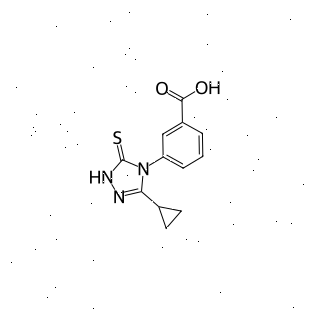 O=C(O)c1cccc(-n2c(C3CC3)n[nH]c2=S)c1